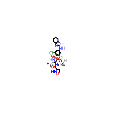 CCCCN(C(=O)C1CCON1)C(C)(NS(=O)(=O)c1c(Cl)cc(Nc2nc3c([nH]2)CCCC3)cc1Cl)C(=O)O